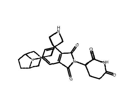 O=C1CCC(N2C(=O)c3ccc(N4C5CCC4CN(CC4CNC4)C5)cc3C2=O)C(=O)N1